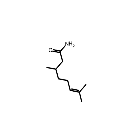 CC(C)=CCCC(C)CC(N)=O